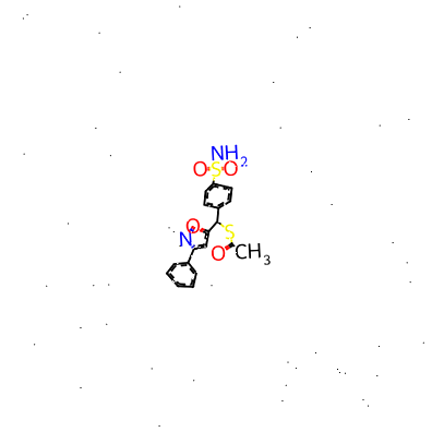 CC(=O)SC(c1ccc(S(N)(=O)=O)cc1)c1cc(-c2ccccc2)no1